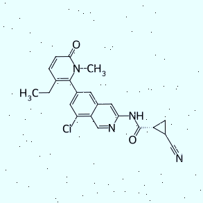 CCc1ccc(=O)n(C)c1-c1cc(Cl)c2cnc(NC(=O)[C@@H]3CC3C#N)cc2c1